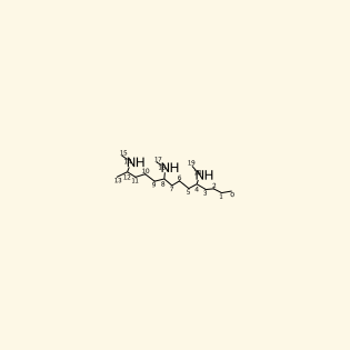 CCCCC(CCCC(CCCC(C)NC)NC)NC